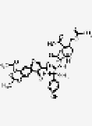 CC(=O)OCC1=C(C(=O)O)N2C(=O)[C@@H](NC(=O)C(N)(NC(=O)c3coc4cc(OC(C)=O)c(OC(C)=O)cc4c3=O)c3ccc(O)cc3)[C@@H]2SC1